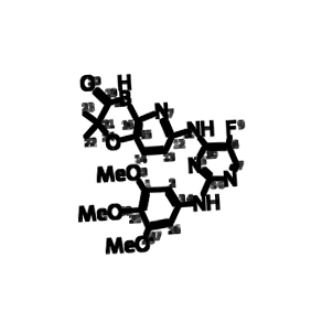 COc1cc(Nc2ncc(F)c(Nc3ccc4c(n3)BC(=O)C(C)(C)O4)n2)cc(OC)c1OC